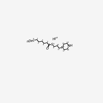 CCCCCCCCCCCCCCCC(=O)SCCCN1CCNCC1.I